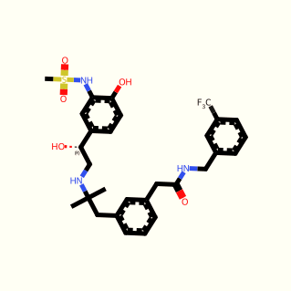 CC(C)(Cc1cccc(CC(=O)NCc2cccc(C(F)(F)F)c2)c1)NC[C@H](O)c1ccc(O)c(NS(C)(=O)=O)c1